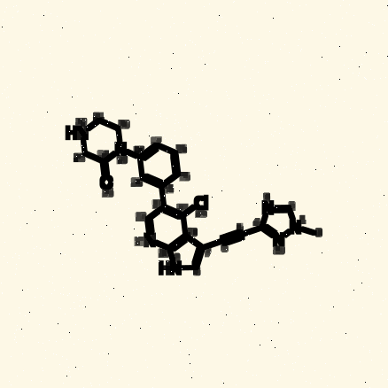 Cn1cnc(C#Cc2c[nH]c3ncc(-c4cccc(N5CCNCC5=O)c4)c(Cl)c23)n1